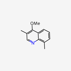 COc1c(C)cnc2c(C)cccc12